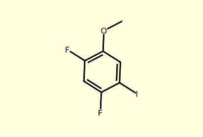 COc1cc(I)c(F)cc1F